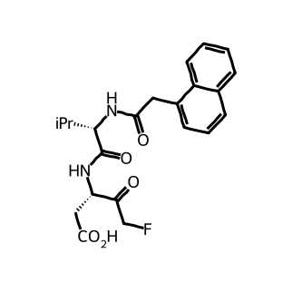 CC(C)[C@H](NC(=O)Cc1cccc2ccccc12)C(=O)N[C@@H](CC(=O)O)C(=O)CF